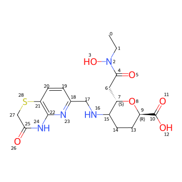 CCN(O)C(=O)C[C@@H]1O[C@@H](C(=O)O)CCC1NCc1ccc2c(n1)NC(=O)CS2